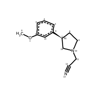 COc1cccc([C@H]2CCN(CC#N)C2)c1